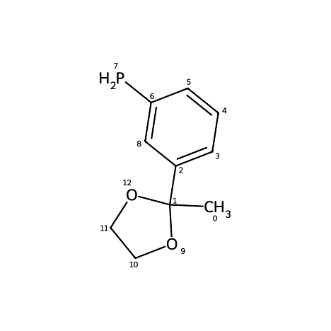 CC1(c2cccc(P)c2)OCCO1